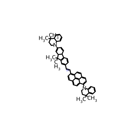 CC1(C)CCN(c2ccc3ccc4c(/C=C/c5ccc6c(c5)C(C)(C)C5C=C(N7CCC(C)(C)C8C=CC=CC87)C=CC65)ccc5ccc2c3c54)c2ccccc21